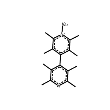 Cc1nc(C)c(C)c(-c2c(C)c(C)[n+](C(C)(C)C)c(C)c2C)c1C